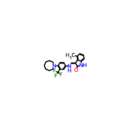 Cc1cccc2c1C(=CNc1ccc(N3CCCCCCC3)c(C(F)(F)F)c1)C(=O)N2